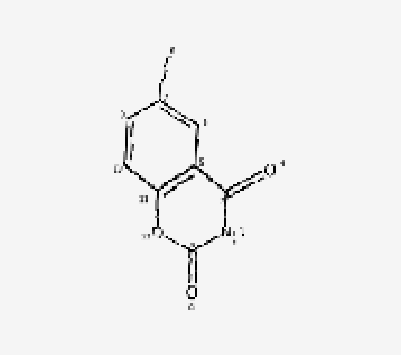 O=c1[nH]c(=O)c2cc(F)ccc2o1